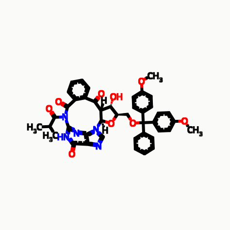 COc1ccc(C(OC[C@H]2O[C@@H]3[C@H](C(=O)c4ccccc4C(=O)N(C(=O)C(C)C)c4nc5c(ncn53)c(=O)[nH]4)[C@@H]2O)(c2ccccc2)c2ccc(OC)cc2)cc1